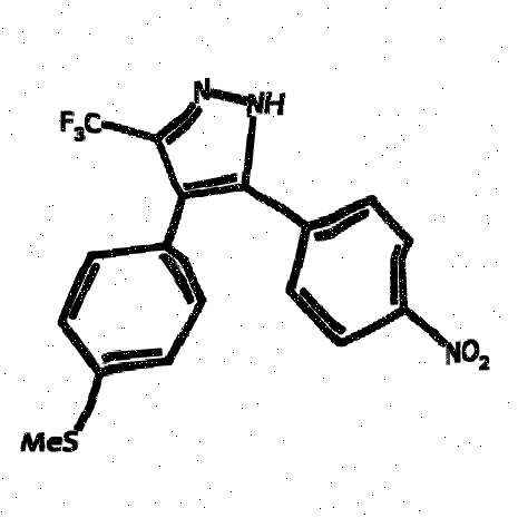 CSc1ccc(-c2c(C(F)(F)F)n[nH]c2-c2ccc([N+](=O)[O-])cc2)cc1